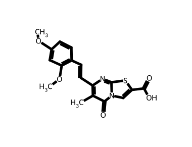 COc1ccc(/C=C/c2nc3sc(C(=O)O)cn3c(=O)c2C)c(OC)c1